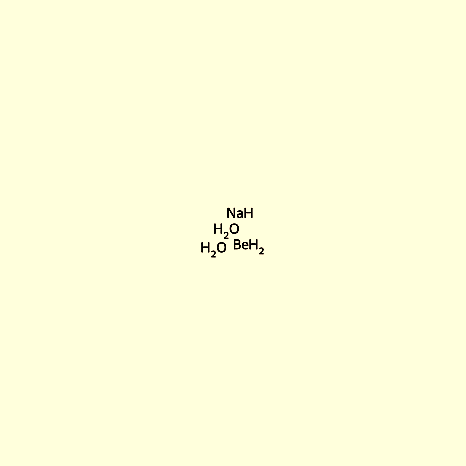 O.O.[BeH2].[NaH]